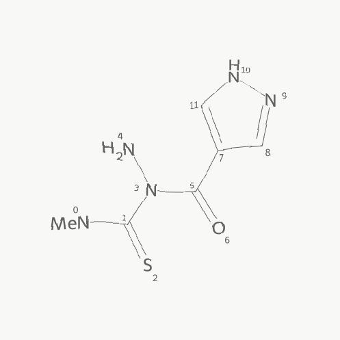 CNC(=S)N(N)C(=O)c1cn[nH]c1